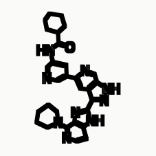 O=C(Nc1cncc(-c2cc3c(-c4nc5c(N6CCCCC6)nccc5[nH]4)n[nH]c3cn2)c1)C1CCCCC1